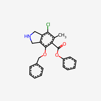 Cc1c(Cl)c2c(c(OCc3ccccc3)c1C(=O)Oc1ccccc1)CNC2